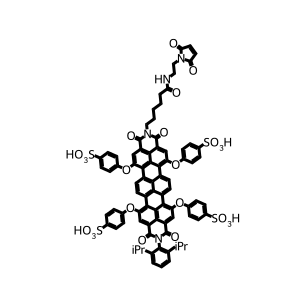 CC(C)c1cccc(C(C)C)c1N1C(=O)c2cc(Oc3ccc(S(=O)(=O)O)cc3)c3c4ccc5c6c(Oc7ccc(S(=O)(=O)O)cc7)cc7c8c(cc(Oc9ccc(S(=O)(=O)O)cc9)c(c9ccc(c%10c(Oc%11ccc(S(=O)(=O)O)cc%11)cc(c2c3%10)C1=O)c4c59)c86)C(=O)N(CCCCCC(=O)NCCN1C(=O)C=CC1=O)C7=O